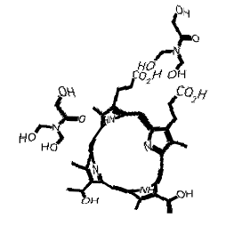 CC1=C(CCC(=O)O)c2cc3[nH]c(cc4nc(cc5[nH]c(cc1n2)c(C(C)O)c5C)C(C(C)O)=C4C)c(C)c3CCC(=O)O.O=C(CO)N(CO)CO.O=C(CO)N(CO)CO